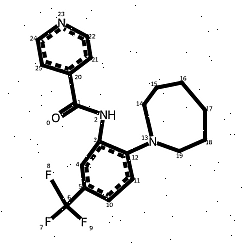 O=C(Nc1cc(C(F)(F)F)ccc1N1CCCCCC1)c1ccncc1